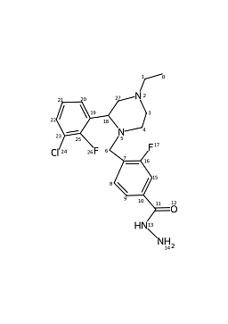 CCN1CCN(Cc2ccc(C(=O)NN)cc2F)C(c2cccc(Cl)c2F)C1